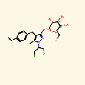 CCc1ccc(Cc2c(O[C@H]3O[C@H](CO)[C@@H](O)[C@H](O)[C@H]3O)nn(C(CF)CF)c2C)cc1